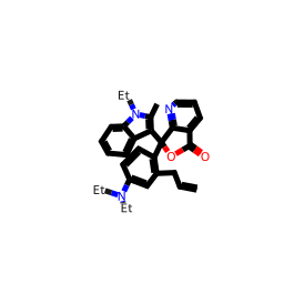 C=CCc1cc(N(CC)CC)ccc1C1(c2c(C)n(CC)c3ccccc23)OC(=O)c2cccnc21